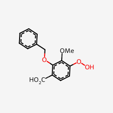 COc1c(OO)ccc(C(=O)O)c1OCc1ccccc1